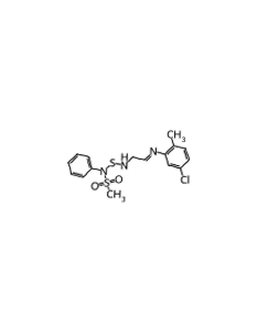 Cc1ccc(Cl)cc1N=CCNSN(c1ccccc1)S(C)(=O)=O